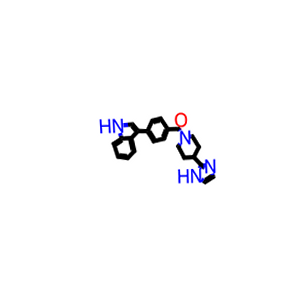 O=C(c1ccc(-c2c[nH]c3ccccc23)cc1)N1CCC(c2ncc[nH]2)CC1